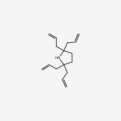 C=CCC1(CC=C)CCC(CC=C)(CC=C)N1